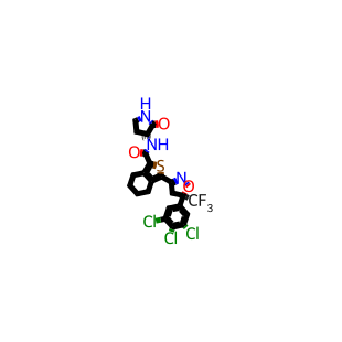 O=C(N[C@@H]1CCNC1=O)c1sc(C2=NOC(c3cc(Cl)c(Cl)c(Cl)c3)(C(F)(F)F)C2)c2c1CCCC2